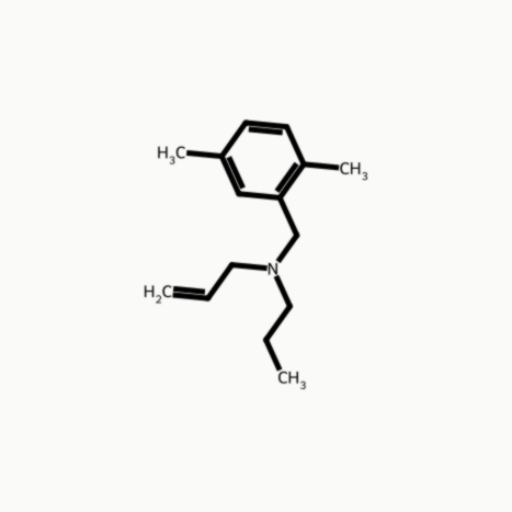 C=CCN(CCC)Cc1cc(C)ccc1C